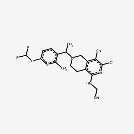 Cc1nc(OC(F)F)ccc1C(C)N1CCc2c(NCC#N)nc(Cl)c(C#N)c2C1